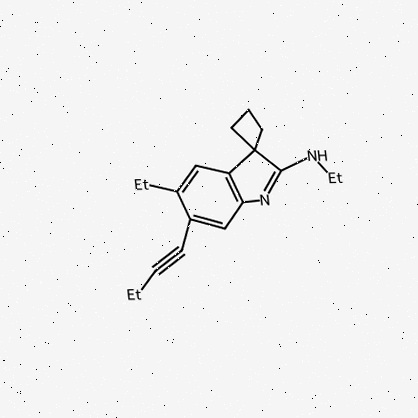 CCC#Cc1cc2c(cc1CC)C1(CCC1)C(NCC)=N2